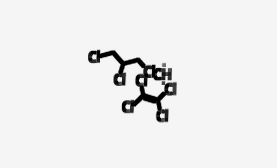 ClC(Cl)=C(Cl)Cl.ClCC(Cl)CCl.[CH]